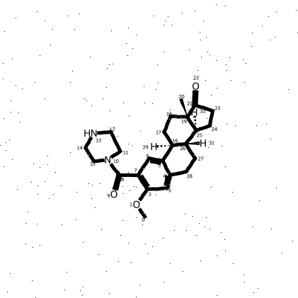 COc1cc2c(cc1C(=O)N1CCNCC1)[C@H]1CC[C@]3(C)C(=O)CC[C@H]3[C@@H]1CC2